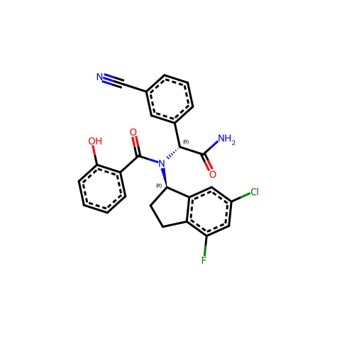 N#Cc1cccc([C@H](C(N)=O)N(C(=O)c2ccccc2O)[C@@H]2CCc3c(F)cc(Cl)cc32)c1